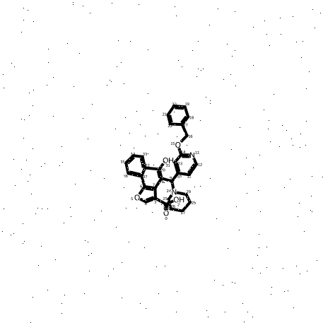 O=C(O)c1coc2c1c(C(c1ccnc(OCc3ccccc3)c1)N1CCCCC1)c(O)c1ccccc12